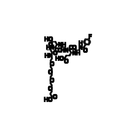 C[C@H](NC(=O)C(CC(=O)O)NC(=O)CNC(=O)[C@H](CCC(=O)O)NC(=O)CNC(=O)c1ccc(F)cc1)C(=O)NCCOCCOCCOCCOCCC(=O)O